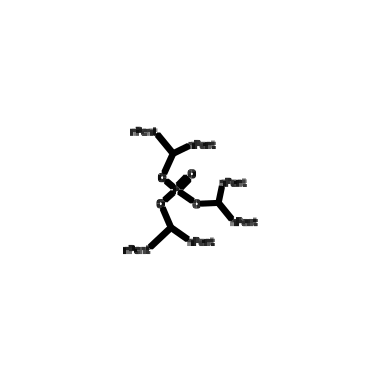 CCCCCC(CCCCC)OP(=O)(OC(CCCCC)CCCCC)OC(CCCCC)CCCCC